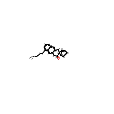 CCCCc1cccc2cc3c(cc12)CC(=O)C1(C3)CC2C=CC1C2